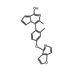 Cc1cc(Oc2nccc3occc23)ccc1-c1c(C)nc(O)c2cccn12